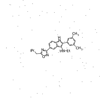 CCNc1c(-c2cc(C)cc(C)c2)[nH]c2ccc(-c3noc(CC(C)C)n3)cc12